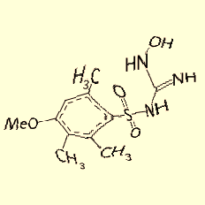 COc1cc(C)c(S(=O)(=O)NC(=N)NO)c(C)c1C